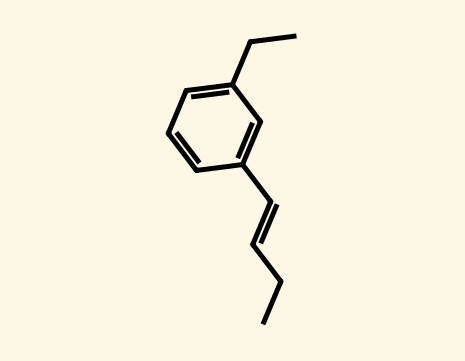 CCC=Cc1cccc(CC)c1